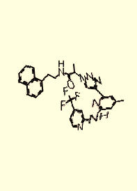 Cc1cc(Nc2cc(C(F)(F)F)ccn2)nc(-c2cn(C(C)C(=O)NCCc3cccc4ccccc34)nn2)c1